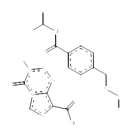 CNNCc1ccc(C(=O)NC(C)C)cc1.Cl.Cn1nnc2c(C(N)=O)ncn2c1=O